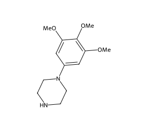 COc1cc(N2CCNCC2)cc(OC)c1OC